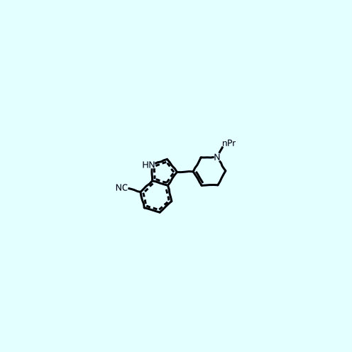 CCCN1CCC=C(c2c[nH]c3c(C#N)cccc23)C1